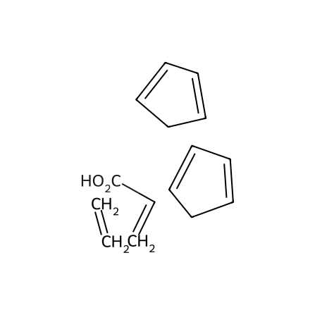 C1=CCC=C1.C1=CCC=C1.C=C.C=CC(=O)O